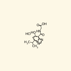 CC(C)c1cc(O)c(C(=O)NCC(=O)O)c2ncnn12.Cl